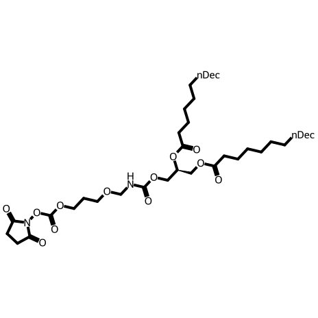 CCCCCCCCCCCCCCCCC(=O)OC[C@@H](COC(=O)NCOCCCOC(=O)ON1C(=O)CCC1=O)OC(=O)CCCCCCCCCCCCCCC